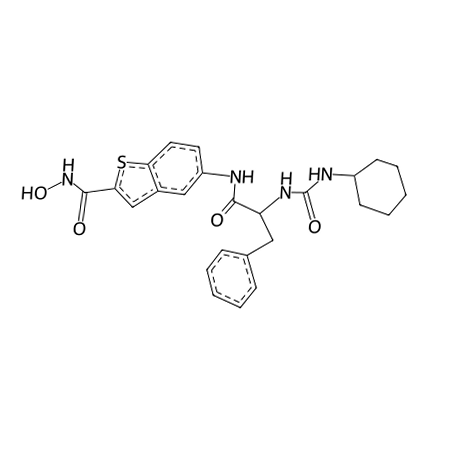 O=C(NC1CCCCC1)NC(Cc1ccccc1)C(=O)Nc1ccc2sc(C(=O)NO)cc2c1